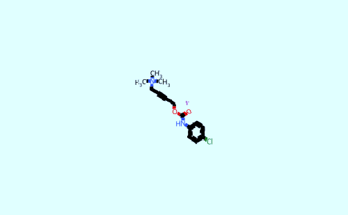 C[N+](C)(C)CC#CCOC(=O)Nc1ccc(Cl)cc1.[I-]